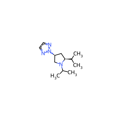 CC(C)[C@@H]1C[C@H](n2nccn2)CN1C(C)C